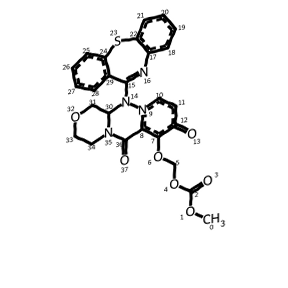 COC(=O)OCOc1c2n(ccc1=O)N(C1=Nc3ccccc3Sc3ccccc31)C1COCCN1C2=O